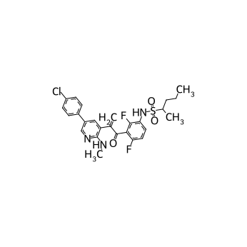 C=C(C(=O)c1c(F)ccc(NS(=O)(=O)C(C)CCC)c1F)c1cc(-c2ccc(Cl)cc2)cnc1NC